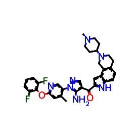 Cc1cc(Oc2c(F)cccc2F)ncc1-n1ncc(C(=O)c2cc3c4c(ccc3[nH]2)CCN(C2CCN(C)CC2)C4)c1N